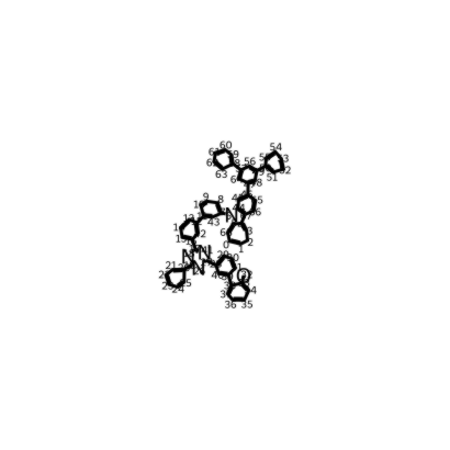 C1=CCC=c2c(n(-c3cccc(-c4cccc(-c5nc(-c6ccccc6)nc(-c6ccc7oc8ccccc8c7c6)n5)c4)c3)c3cc(-c4cc(-c5ccccc5)cc(-c5ccccc5)c4)ccc23)=C1